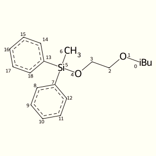 CCC(C)OCCO[Si](C)(c1ccccc1)c1ccccc1